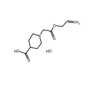 C=CCOC(=O)CN1CCC(C(=O)O)CC1.Cl